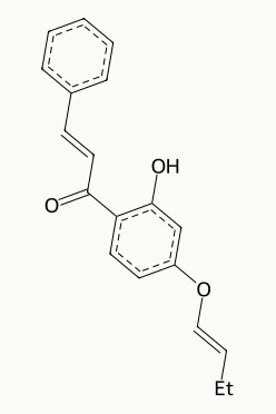 CCC=COc1ccc(C(=O)/C=C/c2ccccc2)c(O)c1